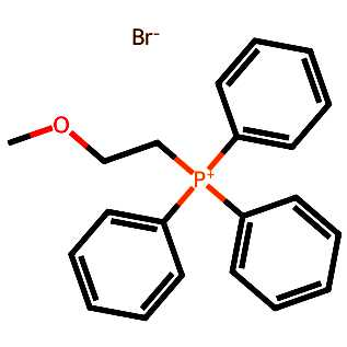 COCC[P+](c1ccccc1)(c1ccccc1)c1ccccc1.[Br-]